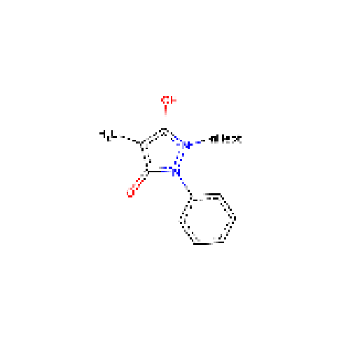 CCCCCCCn1c(O)c(C)c(=O)n1-c1ccccc1